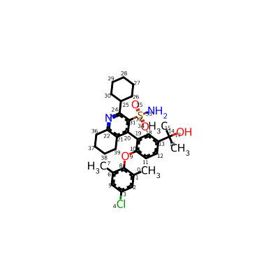 Cc1cc(Cl)cc(C)c1Oc1ccc(C(C)(C)O)cc1-c1c2c(nc(C3CCCCC3)c1S(N)(=O)=O)CCCC2